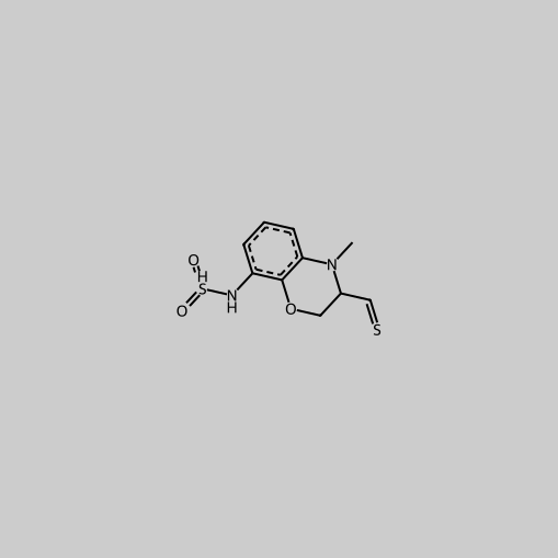 CN1c2cccc(N[SH](=O)=O)c2OCC1C=S